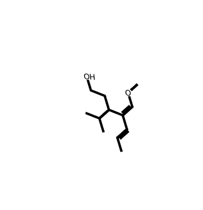 C/C=C/C(=C/OC)C(CCO)C(C)C